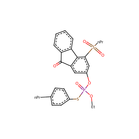 CCCc1ccc(SP(=O)(OCC)Oc2cc3c(c(S(=O)(=O)CCC)c2)-c2ccccc2C3=O)cc1